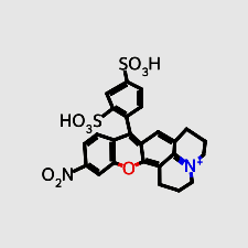 O=[N+]([O-])c1ccc2c(c1)Oc1c3c4c(cc1=C2c1ccc(S(=O)(=O)O)cc1S(=O)(=O)O)CCC[N+]=4CCC3